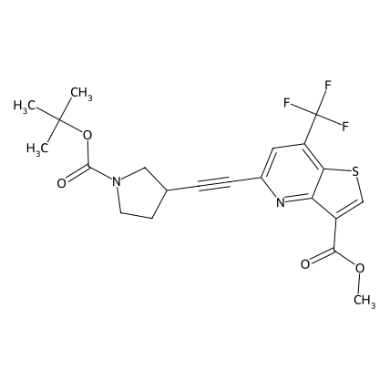 COC(=O)c1csc2c(C(F)(F)F)cc(C#CC3CCN(C(=O)OC(C)(C)C)C3)nc12